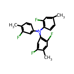 Cc1ccc(N(c2ccc(C)c(F)c2)c2cc(F)c(C)cc2F)c(F)c1